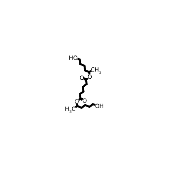 CC(CCCCO)OC(=O)CCCCC(=O)OC(C)CCCCO